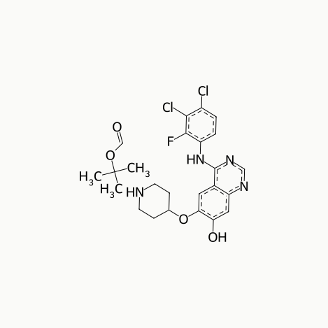 CC(C)(C)OC=O.Oc1cc2ncnc(Nc3ccc(Cl)c(Cl)c3F)c2cc1OC1CCNCC1